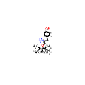 CC(C)[Si](OC[C@@H](N)Cc1ccc(O)cc1)(C(C)C)C(C)C